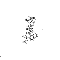 CC(c1ccc2c(c1NC(=O)NS(=O)(=O)c1cc(C(C)(C)O)cs1)CCC2)C1CC1